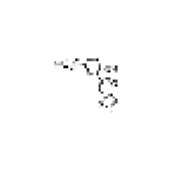 Cc1ccc(/C=C2\C(=O)Nc3ccc(C(=O)O)cc32)s1